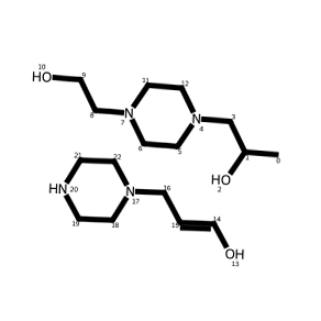 CC(O)CN1CCN(CCO)CC1.OC=CCN1CCNCC1